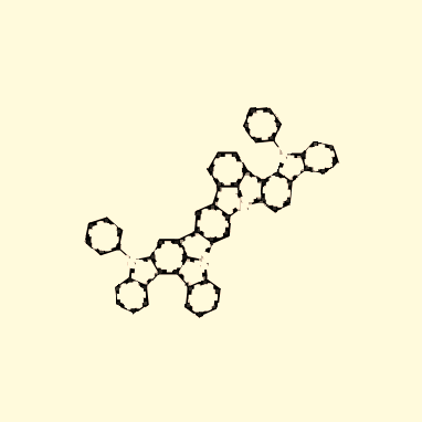 c1ccc(-n2c3ccccc3c3c4c5ccccc5n5c6cc7c(cc6c(cc32)c45)c2cccc3c4c5c(ccc4n7c23)c2ccccc2n5-c2ccccc2)cc1